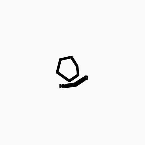 C1CCCCC1.N=C=O